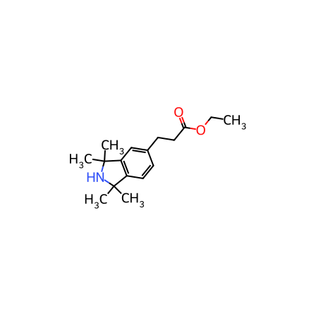 CCOC(=O)CCc1ccc2c(c1)C(C)(C)NC2(C)C